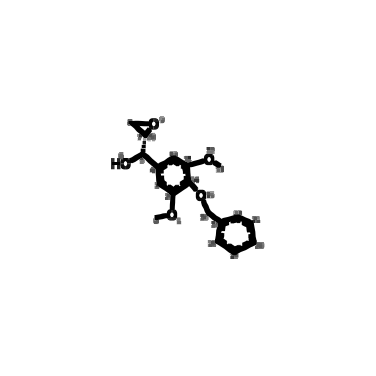 COc1cc(C(O)[C@@H]2CO2)cc(OC)c1OCc1ccccc1